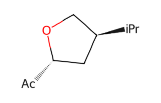 CC(=O)[C@H]1C[C@H](C(C)C)CO1